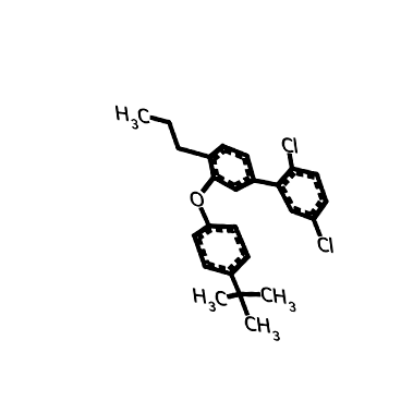 CCCc1ccc(-c2cc(Cl)ccc2Cl)cc1Oc1ccc(C(C)(C)C)cc1